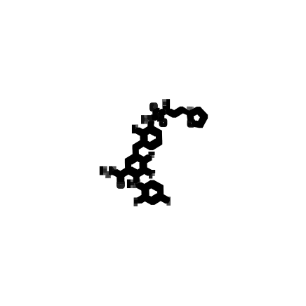 NC(=O)c1cc(Cc2cccc(NS(=O)(=O)NCC[C@H]3CCCO3)c2F)c(F)c(F)c1Nc1ccc(I)cc1F